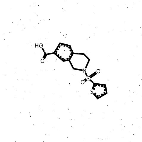 O=C(O)c1ccc2c(c1)CN(S(=O)(=O)c1cccs1)CC2